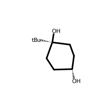 CC(C)(C)[C@]1(O)CC[C@H](O)CC1